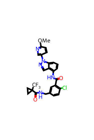 COc1ccc(-n2ncc3c(NC(=O)c4cc(CNC(=O)C5(C(F)(F)F)CC5)ccc4Cl)cccc32)cn1